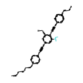 CCCCCCc1ccc(C#Cc2cc(F)c(C#Cc3ccc(CCC)cc3)c(CC)c2)cc1